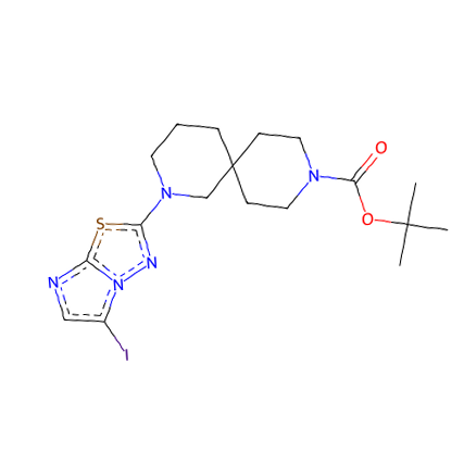 CC(C)(C)OC(=O)N1CCC2(CCCN(c3nn4c(I)cnc4s3)C2)CC1